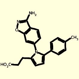 Cc1ccc(-c2ccc(CCC(=O)O)n2-c2ccc3c(N)noc3c2)cc1